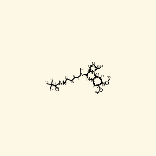 COc1cc2nc(NCCCCCNC(=O)C(C)(C)C)c3nnc(C)n3c2cc1OC